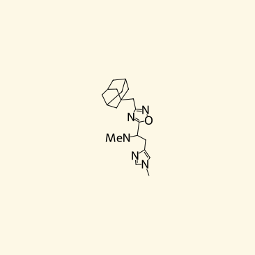 CNC(Cc1cn(C)cn1)c1nc(CC23CC4CC(CC(C4)C2)C3)no1